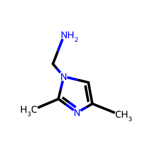 Cc1cn(CN)c(C)n1